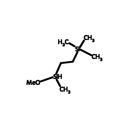 CO[SiH](C)CC[Si](C)(C)C